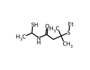 CCSC(C)(C)CC(=O)NC(C)S